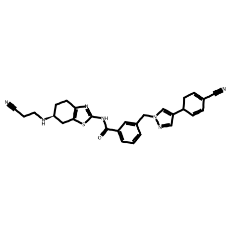 N#CCCN[C@H]1CCc2nc(NC(=O)c3cccc(Cn4cc(C5C=CC(C#N)=CC5)cn4)c3)sc2C1